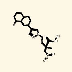 CC(CCn1cc(C2CCC3CCCC(=O)C3C2)cn1)(C[SH](=O)=O)C(=O)NO